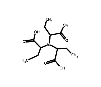 CC[CH](C(=O)O)[In]([CH](CC)C(=O)O)[CH](CC)C(=O)O